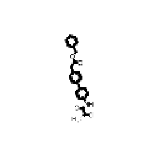 CC(Cl)C(=O)Nc1ccc(-c2ccc(CC(=O)OCc3ccccc3)cc2)cc1